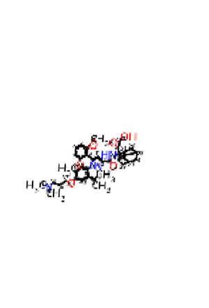 COc1cccc(OC)c1-c1cc(C(=O)NC2(C3OC3O)C3CC4CC(C3)CC2C4)nn1-c1ccc(OCCCN(C)C)cc1C(C)C